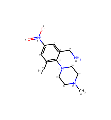 Cc1cc([N+](=O)[O-])cc(CN)c1N1CCN(C)CC1